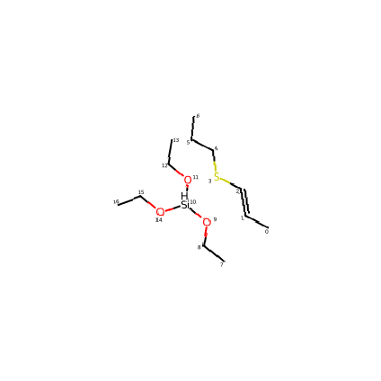 CC=CSCCC.CCO[SiH](OCC)OCC